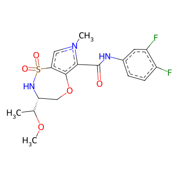 COC(C)[C@H]1COc2c(cn(C)c2C(=O)Nc2ccc(F)c(F)c2)S(=O)(=O)N1